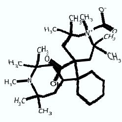 CN1C(C)(C)CC(C2(C3(C(=O)O)CC(C)(C)[N+](C)(C(=O)[O-])C(C)(C)C3)CCCCC2)CC1(C)C